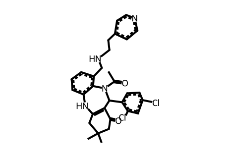 CC(=O)N1c2c(CNCCc3ccncc3)cccc2NC2=C(C(=O)CC(C)(C)C2)C1c1ccc(Cl)cc1Cl